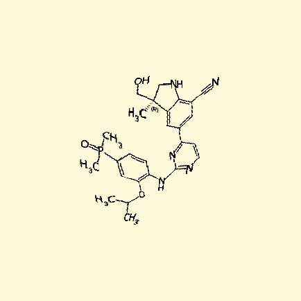 CC(C)Oc1cc(P(C)(C)=O)ccc1Nc1nccc(-c2cc(C#N)c3c(c2)[C@@](C)(CO)CN3)n1